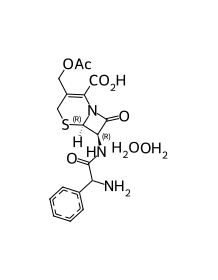 CC(=O)OCC1=C(C(=O)O)N2C(=O)[C@@H](NC(=O)C(N)c3ccccc3)[C@H]2SC1.O.O